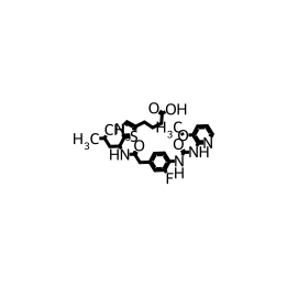 COc1cccnc1NC(=O)Nc1ccc(CC(=O)NC(CC(C)C)c2ncc(CCCC(=O)O)s2)cc1F